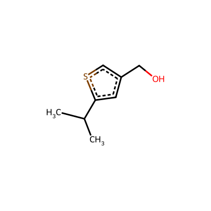 CC(C)c1cc(CO)cs1